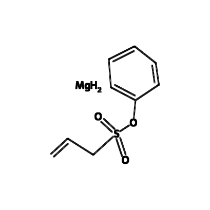 C=CCS(=O)(=O)Oc1ccccc1.[MgH2]